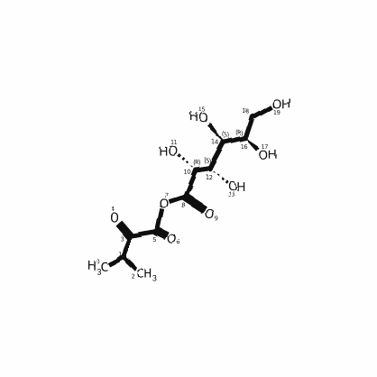 CC(C)C(=O)C(=O)OC(=O)[C@H](O)[C@@H](O)[C@@H](O)[C@H](O)CO